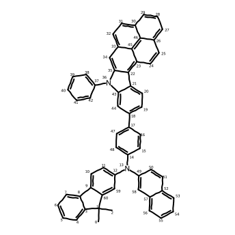 CC1(C)c2ccccc2-c2ccc(N(c3ccc(-c4ccc5c6c7ccc8cccc9ccc(cc6n(-c6ccccc6)c5c4)c7c98)cc3)c3ccc4ccccc4c3)cc21